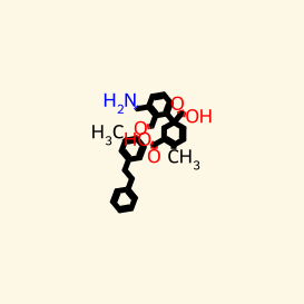 CC1=C(C(=O)O)CC(C(=O)O)(c2cccc(CN)c2COc2ccc(CCc3ccccc3)cc2C)C=C1